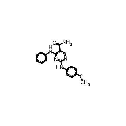 COc1ccc(Nc2ncc(C(N)=O)c(Nc3ccccc3)n2)cc1